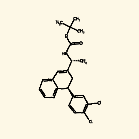 C[C@@H](NC(=O)OC(C)(C)C)C1=Cc2ccccc2[C@H](c2ccc(Cl)c(Cl)c2)C1